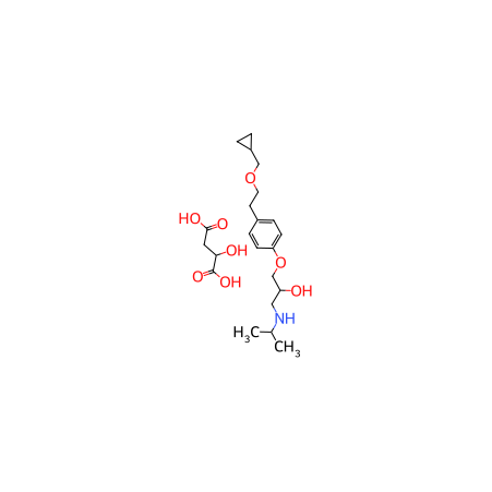 CC(C)NCC(O)COc1ccc(CCOCC2CC2)cc1.O=C(O)CC(O)C(=O)O